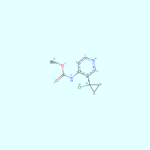 CC(C)(C)OC(=O)Nc1ccncc1C1(Cl)CC1